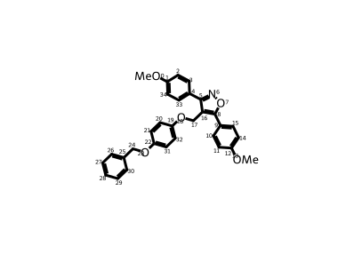 COc1ccc(-c2noc(-c3ccc(OC)cc3)c2COc2ccc(OCc3ccccc3)cc2)cc1